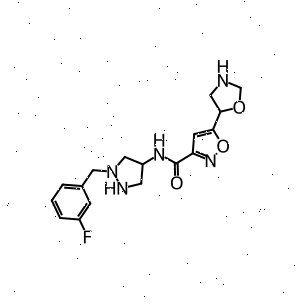 O=C(NC1CNN(Cc2cccc(F)c2)C1)c1cc(C2CNCO2)on1